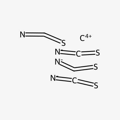 [C+4].[N-]=C=S.[N-]=C=S.[N-]=C=S.[N-]=C=S